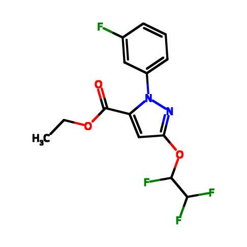 CCOC(=O)c1cc(OC(F)C(F)F)nn1-c1cccc(F)c1